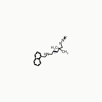 CC(C)(/C=C/CNCc1cccc2ccccc12)CN=[N+]=[N-]